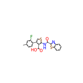 Cc1ccc(-c2csc(NC(=O)c3nc4ccccc4s3)c2C(=O)O)c(F)c1